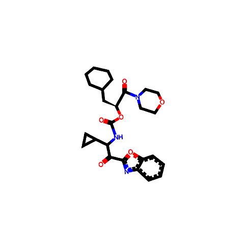 O=C(NC(C(=O)c1nc2ccccc2o1)C1CC1)O[C@@H](CC1CCCCC1)C(=O)N1CCOCC1